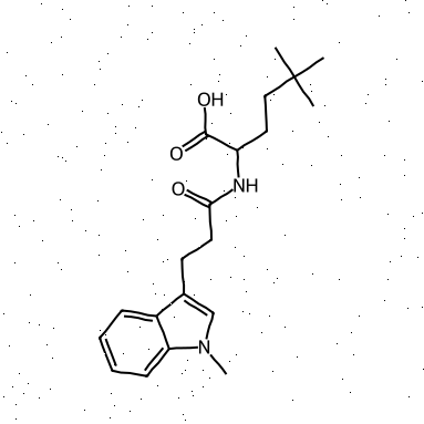 Cn1cc(CCC(=O)NC(CCC(C)(C)C)C(=O)O)c2ccccc21